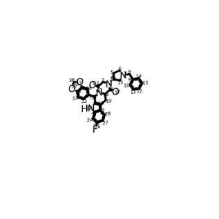 O=C1CN([C@@H]2CCN(Cc3ccccc3)C2)C(=O)C2Cc3c([nH]c4cc(F)ccc34)C(c3ccc4c(c3)OCO4)N12